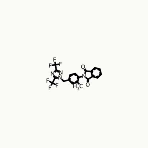 Cc1cc(Cn2nc(C(F)(F)F)nc2C(F)(F)F)ccc1N1C(=O)c2ccccc2C1=O